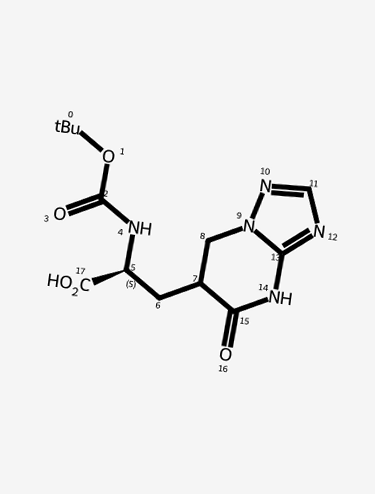 CC(C)(C)OC(=O)N[C@@H](CC1Cn2ncnc2NC1=O)C(=O)O